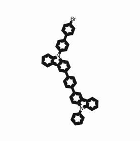 Brc1ccc(-c2ccc(-n3c4ccccc4c4cc(-c5ccc(-c6ccc7c(c6)c6ccccc6n7-c6ccccc6)cc5)ccc43)cc2)cc1